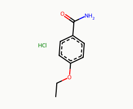 CCOc1ccc(C(N)=O)cc1.Cl